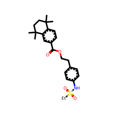 CCS(=O)(=O)Nc1ccc(CCOC(=O)c2ccc3c(c2)C(C)(C)CCC3(C)C)cc1